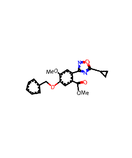 COC(=O)c1cc(OCc2ccccc2)c(OC)cc1-c1noc(C2CC2)n1